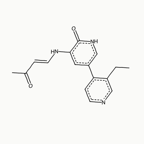 CCc1cnccc1-c1c[nH]c(=O)c(N/C=C/C(C)=O)c1